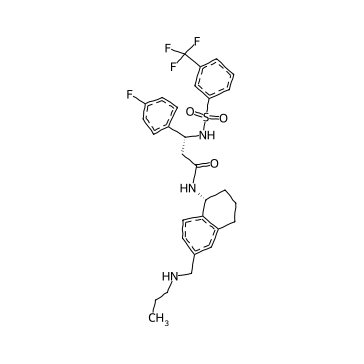 CCCNCc1ccc2c(c1)CCC[C@H]2NC(=O)C[C@@H](NS(=O)(=O)c1cccc(C(F)(F)F)c1)c1ccc(F)cc1